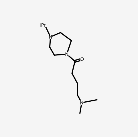 CC(C)N1CCN(C(=O)CCCN(C)C)CC1